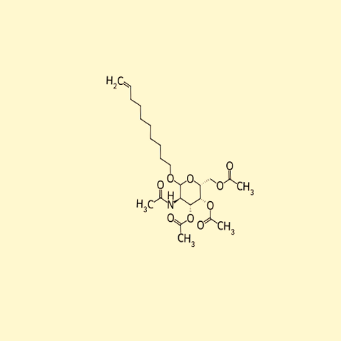 C=CCCCCCCCCOC1O[C@H](COC(C)=O)[C@H](OC(C)=O)[C@H](OC(C)=O)[C@H]1NC(C)=O